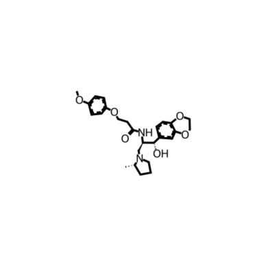 COc1ccc(OCCC(=O)N[C@H](CN2CCC[C@@H]2C)[C@@H](O)c2ccc3c(c2)OCCO3)cc1